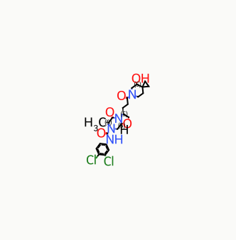 C[C@H]1C(=O)N2[C@@H](CCC(=O)N3CCC4(CC4)[C@H](O)C3)CO[C@H]2CN1C(=O)Nc1ccc(Cl)c(Cl)c1